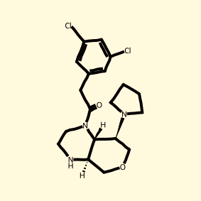 O=C(Cc1cc(Cl)cc(Cl)c1)N1CCN[C@@H]2COC[C@H](N3CCCC3)[C@H]21